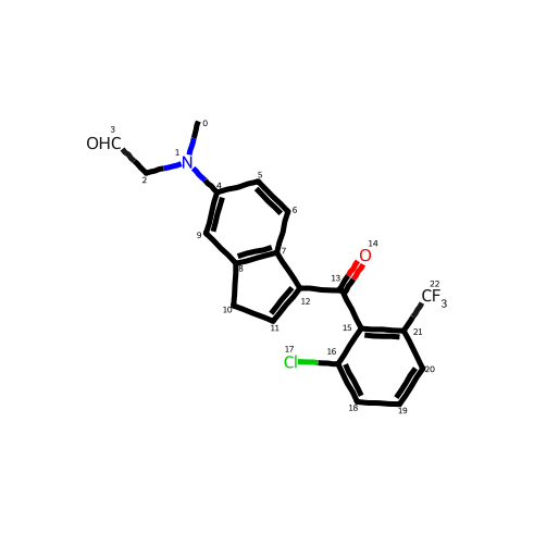 CN(CC=O)c1ccc2c(c1)CC=C2C(=O)c1c(Cl)cccc1C(F)(F)F